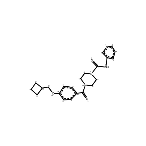 O=C(Nc1cccnc1)N1CCN(C(=O)c2ccc(OCC3CCC3)cc2)CC1